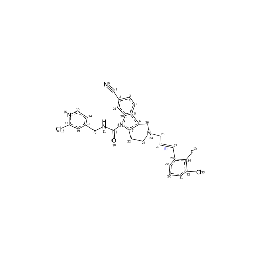 N#Cc1ccc2c3c(n(C(=O)NCc4ccnc(Cl)c4)c2c1)CCN(C/C=C/c1cccc(Cl)c1F)C3